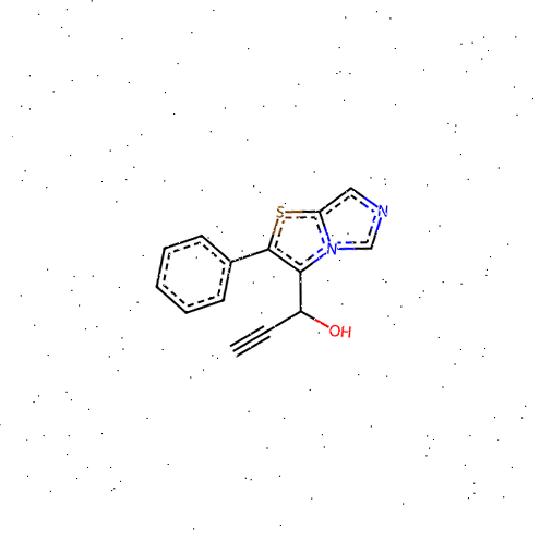 C#CC(O)c1c(-c2ccccc2)sc2cncn12